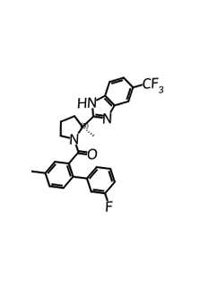 Cc1ccc(-c2cccc(F)c2)c(C(=O)N2CCC[C@@]2(C)c2nc3cc(C(F)(F)F)ccc3[nH]2)c1